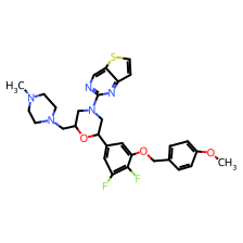 COc1ccc(COc2cc(C3CN(c4ncc5sccc5n4)CC(CN4CCN(C)CC4)O3)cc(F)c2F)cc1